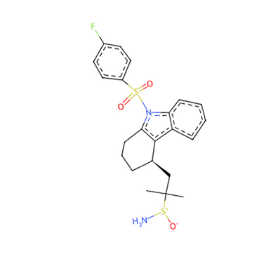 CC(C)(C[C@H]1CCCc2c1c1ccccc1n2S(=O)(=O)c1ccc(F)cc1)[S+](N)[O-]